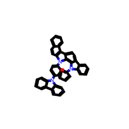 c1ccc(-n2c3ccccc3c3ccc4c5c6ccccc6ccc5n(-c5ccc(-n6c7ccccc7c7ccccc76)cc5)c4c32)cc1